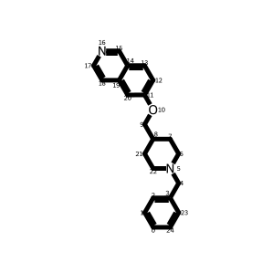 c1ccc(CN2CCC(COc3ccc4cnccc4c3)CC2)cc1